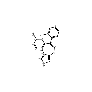 Fc1ccccc1C1=CCc2n[nH]nc2-c2ccc(Cl)cc21